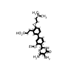 CCOc1cc(-c2ccc(OCCN(C)C)c(CCC(=O)O)c2)ccc1-c1nc(N)c(N)c(=O)[nH]1